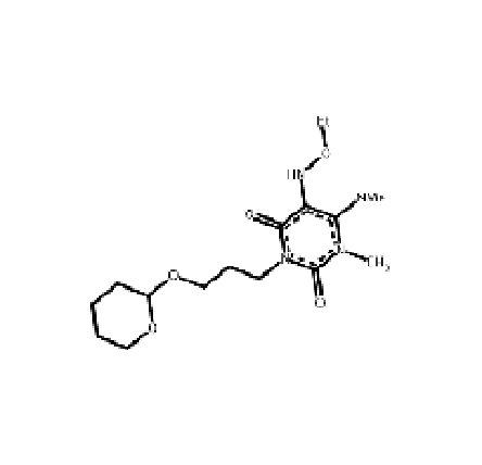 CCONc1c(NC)n(C)c(=O)n(CCCOC2CCCCO2)c1=O